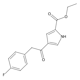 CCOC(=O)c1cc(C(=O)Cc2ccc(F)cc2)c[nH]1